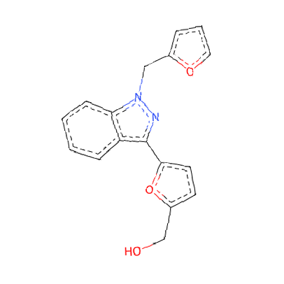 OCc1ccc(-c2nn(Cc3ccco3)c3ccccc23)o1